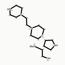 C1CCNC1.C1CN(CCN2CCOCC2)CCN1.CNCCO